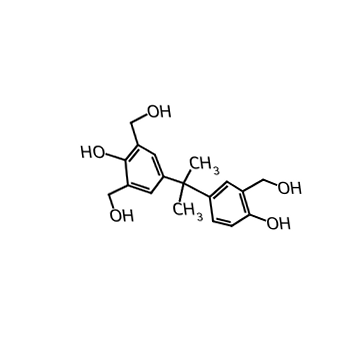 CC(C)(c1ccc(O)c(CO)c1)c1cc(CO)c(O)c(CO)c1